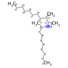 CCCCCCCCC(C)NC(C)C(C)CCCCCCCC